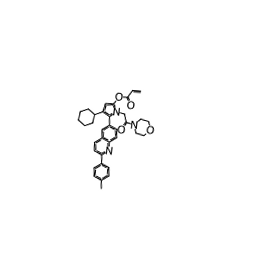 C=CC(=O)Oc1cc(C2CCCCC2)c(-c2ccc3nc(-c4ccc(C)cc4)ccc3c2)n1CC(=O)N1CCOCC1